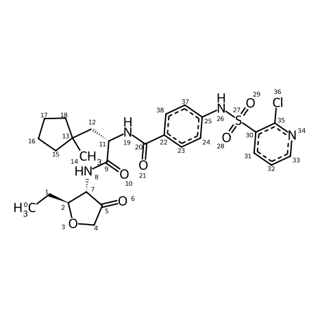 CC[C@@H]1OCC(=O)[C@H]1NC(=O)[C@H](CC1(C)CCCC1)NC(=O)c1ccc(NS(=O)(=O)c2cccnc2Cl)cc1